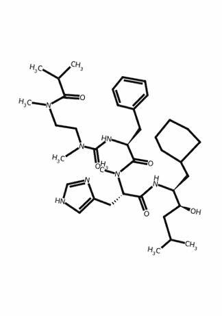 CC(C)C[C@H](O)[C@H](CC1CCCCC1)NC(=O)[C@H](Cc1c[nH]cn1)N(C)C(=O)[C@H](Cc1ccccc1)NC(=O)N(C)CCN(C)C(=O)C(C)C